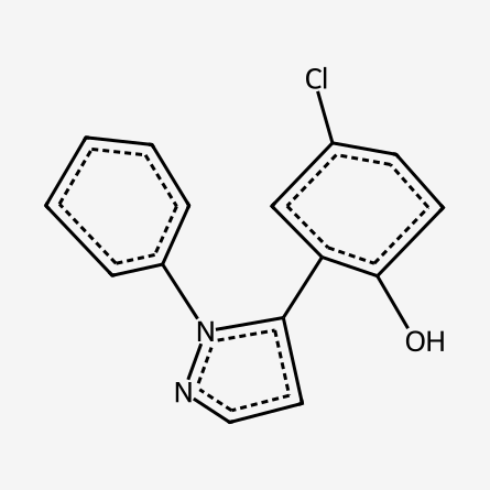 Oc1ccc(Cl)cc1-c1ccnn1-c1ccccc1